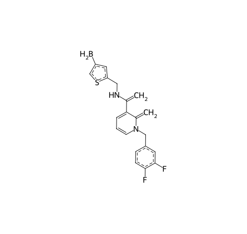 Bc1csc(CNC(=C)C2=CC=CN(Cc3ccc(F)c(F)c3)C2=C)c1